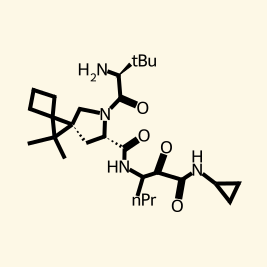 CCCC(NC(=O)[C@@H]1C[C@]2(CN1C(=O)[C@@H](N)C(C)(C)C)C(C)(C)C21CCC1)C(=O)C(=O)NC1CC1